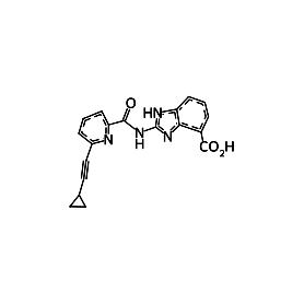 O=C(Nc1nc2c(C(=O)O)cccc2[nH]1)c1cccc(C#CC2CC2)n1